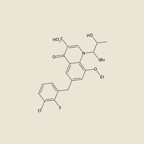 CCOc1cc(Cc2cccc(Cl)c2F)cc2c(=O)c(C(=O)O)cn(C(C(C)O)C(C)(C)C)c12